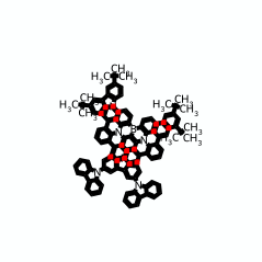 CC(C)(C)c1cc(-c2ccc3c(c2)N(c2c(-c4ccccc4)cccc2-c2ccccc2)c2cc(-n4c5ccc(-n6c7ccccc7c7ccccc76)cc5c5cc(-n6c7ccccc7c7ccccc76)ccc54)cc4c2B3c2ccc(-n3c5ccc(C(C)(C)C)cc5c5cc(C(C)(C)C)ccc53)cc2N4c2c(-c3ccccc3)cccc2-c2ccccc2)cc(C(C)(C)C)c1